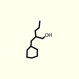 CCCC(CO)C[C]1CCCCC1